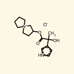 CC(O)(C(=O)OC1CC[N+]2(CCCC2)C1)c1cc[nH]c1.[Cl-]